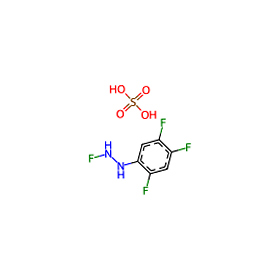 FNNc1cc(F)c(F)cc1F.O=S(=O)(O)O